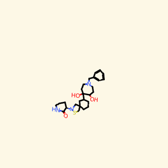 O=C1NCCCC1N1CC2(CCCC(C3(O)CCN(Cc4ccccc4)CCC3O)C2)CS1